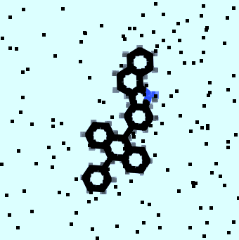 c1ccc(-c2c3ccccc3c(-c3ccc4[nH]c5c6ccccc6ccc5c4c3)c3ccccc23)cc1